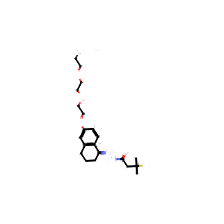 CC(C)(S)CC(=O)N/N=C1\CCCc2cc(OCCOCCOCCC(=O)O)ccc21